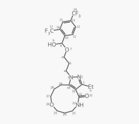 CCc1nn(CCCOC(O)c2ccc(C(F)(F)F)cc2C(F)(F)F)c2c1C(=O)NCCCOCCC2